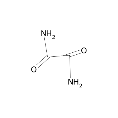 NC(=O)C(N)=O